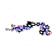 COC(=O)N[C@H](C(=O)N1CCC[C@H]1c1ncc(-c2ccc3cc(-c4ccc(-c5cnc([C@@H]6CCCN6C(=O)C(c6ccccc6)N6CCOCC6)[nH]5)cc4)ccc3c2)[nH]1)C(C)C